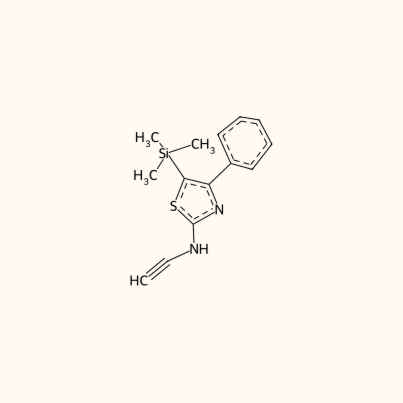 C#CNc1nc(-c2ccccc2)c([Si](C)(C)C)s1